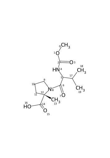 COC(=O)NC(C(=O)N1CCC[C@@]1(C)C(=O)O)C(C)C